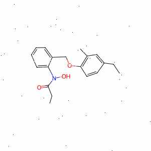 CCC(=O)N(O)c1ccccc1COc1ccc(CC)cc1C